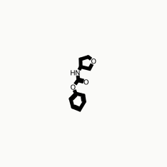 O=C(NC1CCOC1)Oc1ccccc1